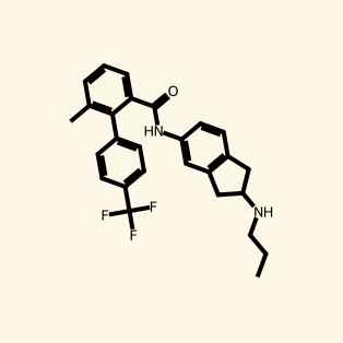 CCCNC1Cc2ccc(NC(=O)c3cccc(C)c3-c3ccc(C(F)(F)F)cc3)cc2C1